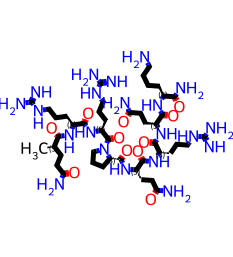 C[C@@H](CCC(N)=O)C(=O)N[C@@H](CCCNC(=N)N)C(=O)N[C@@H](CCCNC(=N)N)C(=O)N1CCC[C@H]1C(=O)N[C@@H](CCC(N)=O)C(=O)N[C@@H](CCCNC(=N)N)C(=O)N[C@@H](CCC(N)=O)C(=O)N[C@@H](CCCCN)C(N)=O